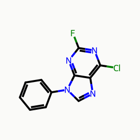 Fc1nc(Cl)c2ncn(-c3ccccc3)c2n1